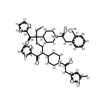 CCC(CCC(C(=O)c1ncco1)C1CCN(C(=O)Cc2cc(C)no2)CC1)(C(=O)c1ncco1)C1CCN(C(=O)Cc2ccccc2Cl)CC1